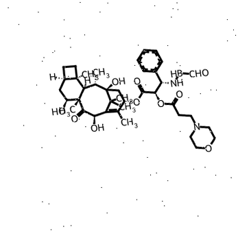 CC1=C2[C@@H](O)C(=O)[C@@]3(C)[C@H]([C@H](C)[C@](O)(C[C@@H]1OC(=O)[C@H](OC(=O)CCN1CCOCC1)[C@@H](NBC=O)c1ccccc1)C2(C)C)[C@]1(C)CC[C@@H]1C[C@@H]3O